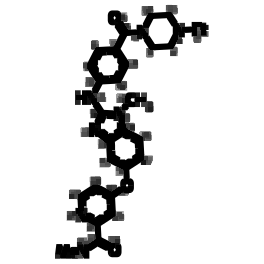 CCN1CCN(C(=O)c2ccc(Nc3nc4cc(Oc5ccnc(C(=O)NC)c5)ccc4n3C)cc2)CC1